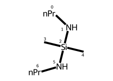 CCCN[Si](C)(C)NCCC